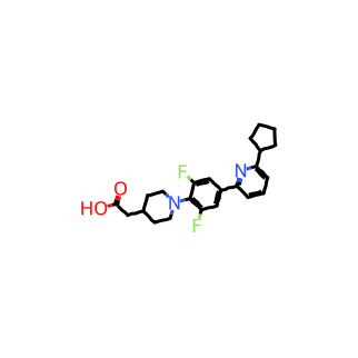 O=C(O)CC1CCN(c2c(F)cc(-c3cccc(C4CCCC4)n3)cc2F)CC1